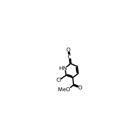 COC(=O)C1=C(Cl)NC(=C=O)C=C1